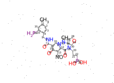 Cc1ccc(CNC(=O)c2cn3c(c(N=O)c2=O)C(=O)N(CCCP(O)O)C2(CCOC2)N3C)c(P)c1